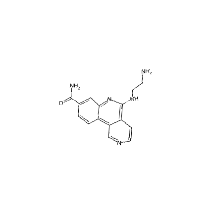 NCCNc1nc2cc(C(N)=O)ccc2c2cnccc12